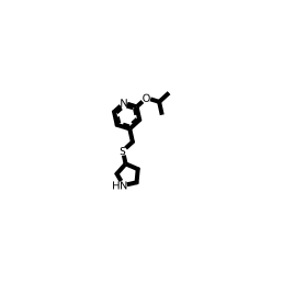 CC(C)Oc1cc(CSC2CCNC2)ccn1